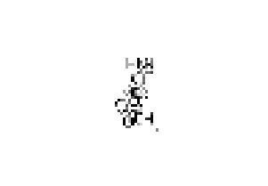 CS(=O)(=O)c1ccccc1OS(=O)(=O)c1ccc2[nH]ncc2c1